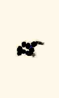 C/C=C(\C=C(/C)c1cccc(N(c2ccc(-c3ccccc3)cc2)c2ccc(C(C)(C)C)cc2)c1)c1ccc2c(c1)-c1ccccc1C21CCC2CC3CC1C3C2